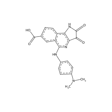 CN(C)c1ccc(Nc2nc3c(c4ccc(C(=O)O)cc24)NC(=O)C3=O)cc1